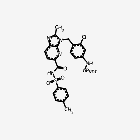 CCCCCNc1ccc(Cn2c(C)nc3ccc(C(=O)NS(=O)(=O)c4ccc(C)cc4)nc32)c(Cl)c1